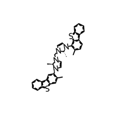 Cc1cc2sc3ccccc3c2cc1N1C=CN(CN2C=CN(c3c(C)ccc4c3sc3ccccc34)[C@@H]2C)[C@@H]1C